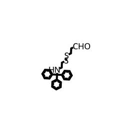 O=CCCSSCCNC(c1ccccc1)(c1ccccc1)c1ccccc1